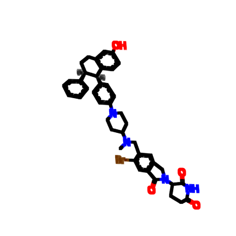 CN(Cc1cc2c(cc1Br)C(=O)N(C1CCC(=O)NC1=O)C2)C1CCN(c2ccc([C@@H]3c4ccc(O)cc4CC[C@@H]3c3ccccc3)cc2)CC1